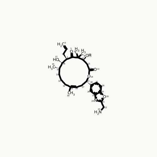 C=CC[C@H]1C(=O)C(C)(C)[C@@H](O)CC(=O)O[C@H](c2ccc3oc(CN)nc3c2)CC=C(C)CCC[C@H](C)[C@@H]1O